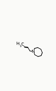 C/C=C/CN1CCCCCCC1